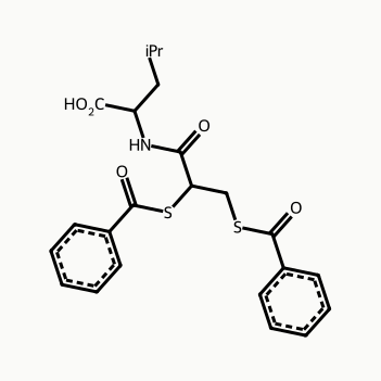 CC(C)CC(NC(=O)C(CSC(=O)c1ccccc1)SC(=O)c1ccccc1)C(=O)O